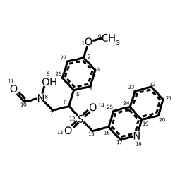 COc1ccc(C(CN(O)C=O)S(=O)(=O)Cc2cnc3ccccc3c2)cc1